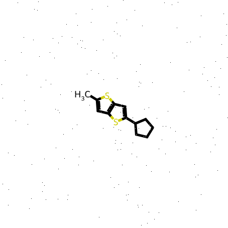 Cc1cc2sc(C3CCCC3)cc2s1